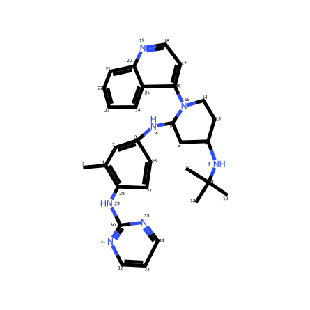 Cc1cc(NC2CC(NC(C)(C)C)CCN2c2ccnc3ccccc23)ccc1Nc1ncccn1